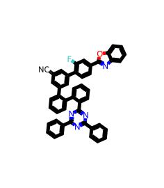 N#Cc1cc(-c2ccc(-c3nc4ccccc4o3)cc2F)cc(-c2ccccc2-c2ccccc2-c2nc(-c3ccccc3)nc(-c3ccccc3)n2)c1